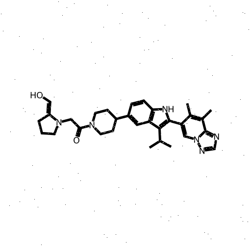 Cc1c(-c2[nH]c3ccc(C4CCN(C(=O)CN5CCC/C5=C\O)CC4)cc3c2C(C)C)cn2ncnc2c1C